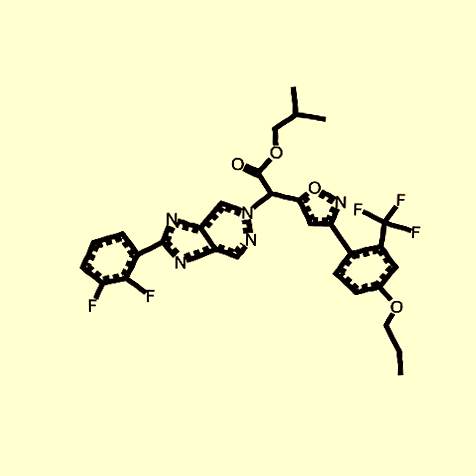 CCCOc1ccc(-c2cc(C(C(=O)OCC(C)C)n3cc4nc(-c5cccc(F)c5F)nc-4cn3)on2)c(C(F)(F)F)c1